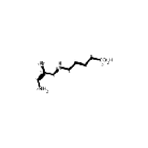 N/C=C(/Br)CNCCCCC(=O)O